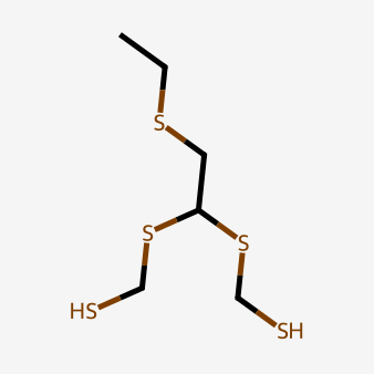 CCSCC(SCS)SCS